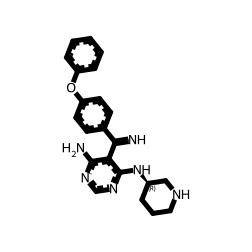 N=C(c1ccc(Oc2ccccc2)cc1)c1c(N)ncnc1N[C@@H]1CCCNC1